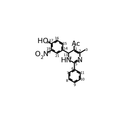 CC(=O)C1=C(C)N=C(c2ccccc2)NC1c1ccc(O)c([N+](=O)[O-])c1